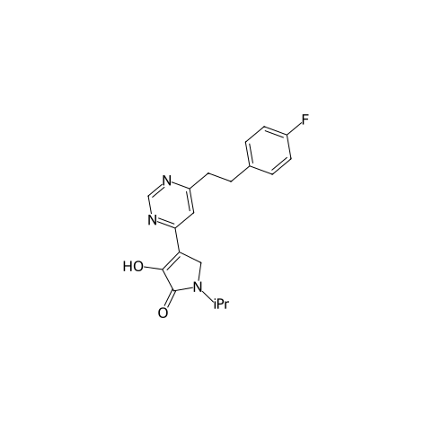 CC(C)N1CC(c2cc(CCc3ccc(F)cc3)ncn2)=C(O)C1=O